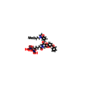 COCCCN1CCOc2ccc(COC3CN(C(=O)CCCC(CON(O)O)ON(O)O)CC(O)C3OC3CCC(Oc4ccccc4)CC3)cc21